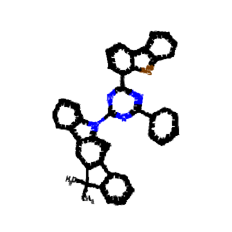 CC1(C)c2ccccc2-c2cc3c(cc21)c1ccccc1n3-c1nc(-c2ccccc2)nc(-c2cccc3c2sc2ccccc23)n1